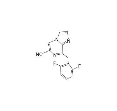 N#Cc1cn2ccnc2c(Cc2c(F)cccc2F)n1